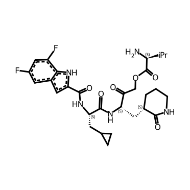 CC(C)[C@H](N)C(=O)OCC(=O)[C@H](C[C@@H]1CCCNC1=O)NC(=O)[C@H](CC1CC1)NC(=O)c1cc2cc(F)cc(F)c2[nH]1